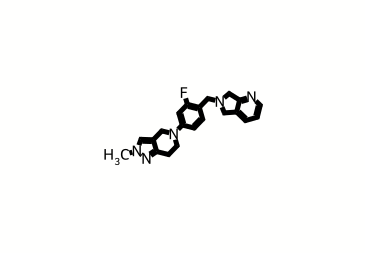 Cn1cc2c(n1)CCN(c1ccc(CN3Cc4cccnc4C3)c(F)c1)C2